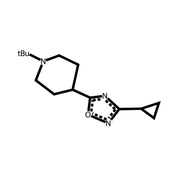 CC(C)(C)N1CCC(c2nc(C3CC3)no2)CC1